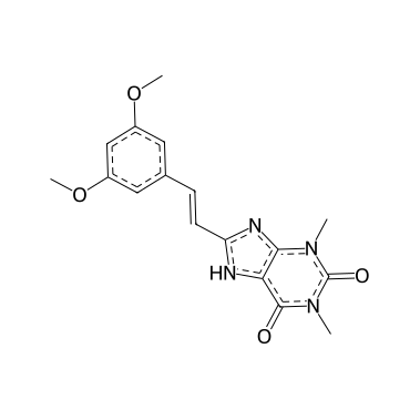 COc1cc(/C=C/c2nc3c([nH]2)c(=O)n(C)c(=O)n3C)cc(OC)c1